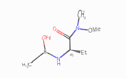 CC[C@@H](NB(C)O)C(=O)N(C)OC